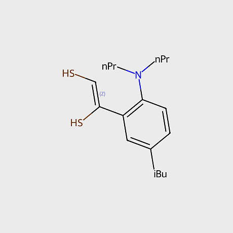 CCCN(CCC)c1ccc(C(C)CC)cc1/C(S)=C/S